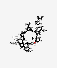 C=CC(=O)N1CC[C@H](C(=O)N(C)[C@H](C(=O)N[C@H]2Cc3cc(cc(C(F)F)c3)-c3ccc4c(c3)c(c(-c3cc(N5CCN(C)CC5)cnc3[C@H](C)OC)n4CC(F)(F)F)CC(C)(C)COC(=O)[C@@H]3CCCN(N3)C2=O)C(C)C)C1